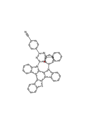 N#Cc1ccc(-c2nc(-c3ccccc3)nc(-n3c4ccccc4c4c5c6ccccc6sc5c5c6ccccc6n(-c6ccccc6)c5c43)n2)cc1